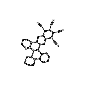 N#Cc1c(C#N)c(C#N)c2cc3c(cc2c1C#N)c1cccnc1c1c2ccccc2c2ccccc2c31